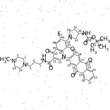 CN1CCN(CCCNC(=O)c2cn3c4cc5c(=O)c6ccccc6c(=O)c5cc4oc4c(N5CCC(NC(=O)OC(C)(C)C)C5)c(F)cc(c2=O)c43)CC1